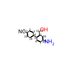 N#Cc1ccc(-c2ccc(N)cc2CO)cc1